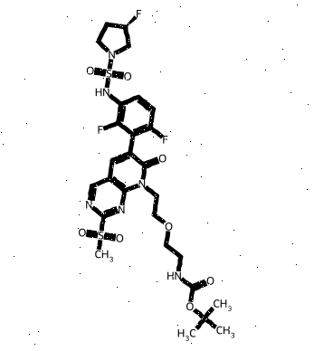 CC(C)(C)OC(=O)NCCOCCn1c(=O)c(-c2c(F)ccc(NS(=O)(=O)N3CC[C@@H](F)C3)c2F)cc2cnc(S(C)(=O)=O)nc21